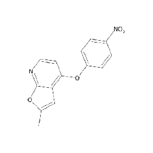 Cc1cc2c(Oc3ccc([N+](=O)[O-])cc3)ccnc2o1